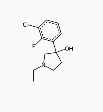 CCN1CCC(O)(c2cccc(Cl)c2F)C1